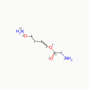 NCC(=O)OC=CCCON